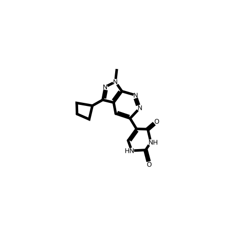 Cn1nc(C2CCC2)c2cc(-c3c[nH]c(=O)[nH]c3=O)nnc21